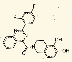 O=C(c1nc(-c2ccc(F)cc2F)nc2ccccc12)N1CCc2c(ccc(O)c2O)C1